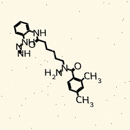 Cc1ccc(C(=O)N(N)CCCCCC(=O)Nc2ccccc2NN=N)c(C)c1